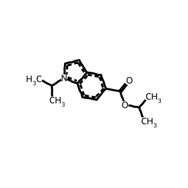 CC(C)OC(=O)c1ccc2c(ccn2C(C)C)c1